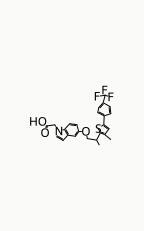 Cc1cc(-c2ccc(C(F)(F)F)cc2)sc1C(C)COc1ccc2c(ccn2CC(=O)O)c1